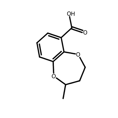 CC1CCOc2c(cccc2C(=O)O)O1